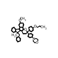 C=CCOc1ccc(C2(c3ccc(N4CCOCC4)cc3)C=Cc3c4c(c5cc(OC)ccc5c3O2)-c2ccccc2C4(C)Cc2ccccc2)cc1